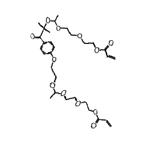 C=CC(=O)OCCOCCOC(C)OCCOc1ccc(C(=O)C(C)(C)OC(C)OCCOCCOC(=O)C=C)cc1